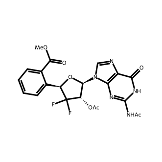 COC(=O)c1ccccc1[C@H]1O[C@@H](n2cnc3c(=O)[nH]c(NC(C)=O)nc32)[C@H](OC(C)=O)C1(F)F